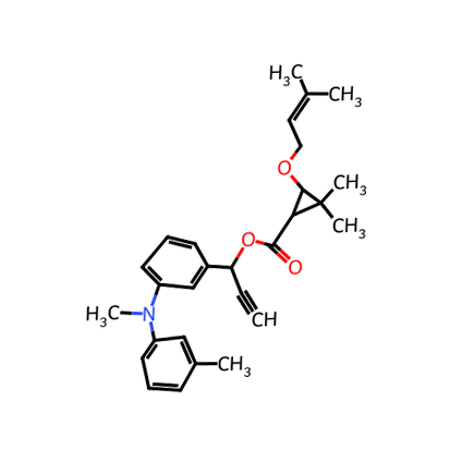 C#CC(OC(=O)C1C(OCC=C(C)C)C1(C)C)c1cccc(N(C)c2cccc(C)c2)c1